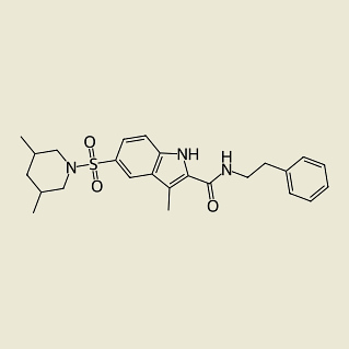 Cc1c(C(=O)NCCc2ccccc2)[nH]c2ccc(S(=O)(=O)N3CC(C)CC(C)C3)cc12